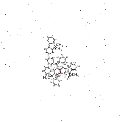 CC1(C)c2ccccc2-c2ccc(-c3cccc(N(c4ccc5c(c4)C(C)(c4ccccc4)c4ccccc4-5)c4ccccc4-c4cccc5c4-c4ccccc4C5(C)C)c3)cc21